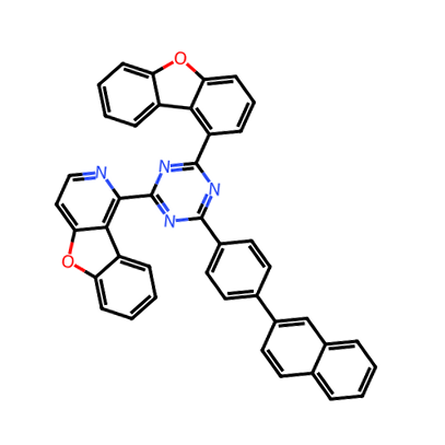 c1ccc2cc(-c3ccc(-c4nc(-c5cccc6oc7ccccc7c56)nc(-c5nccc6oc7ccccc7c56)n4)cc3)ccc2c1